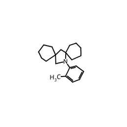 Cc1ccccc1N1CC2(CCCCC2)CC12CCCCC2